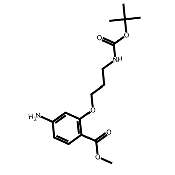 COC(=O)c1ccc(N)cc1OCCCNC(=O)OC(C)(C)C